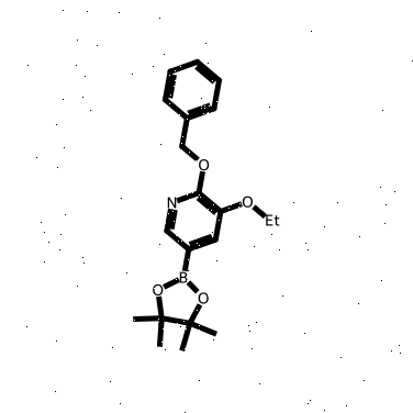 CCOc1cc(B2OC(C)(C)C(C)(C)O2)cnc1OCc1ccccc1